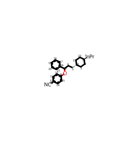 CCC[C@H]1CC[C@H](CCC(Oc2ccc(C#N)cc2)c2ccccc2)CC1